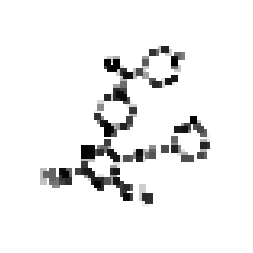 Cc1nc(N)nc(N2CCN(C(=O)C3CCOCC3)CC2)c1C#Cc1cccnc1